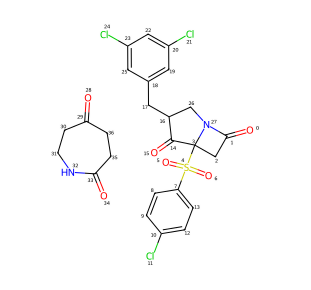 O=C1CC2(S(=O)(=O)c3ccc(Cl)cc3)C(=O)C(Cc3cc(Cl)cc(Cl)c3)CN12.O=C1CCNC(=O)CC1